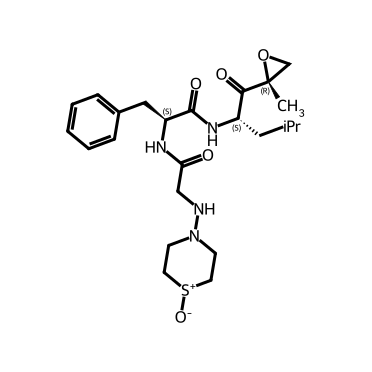 CC(C)C[C@H](NC(=O)[C@H](Cc1ccccc1)NC(=O)CNN1CC[S+]([O-])CC1)C(=O)[C@@]1(C)CO1